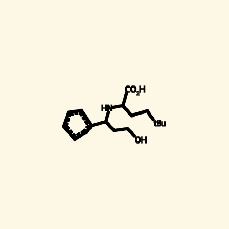 CC(C)(C)CCC(NC(CCO)c1ccccc1)C(=O)O